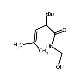 CC(C)=CC(C(=O)NCO)C(C)(C)C